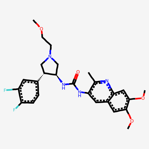 COCCN1C[C@@H](NC(=O)Nc2cc3cc(OC)c(OC)cc3nc2C)[C@H](c2ccc(F)c(F)c2)C1